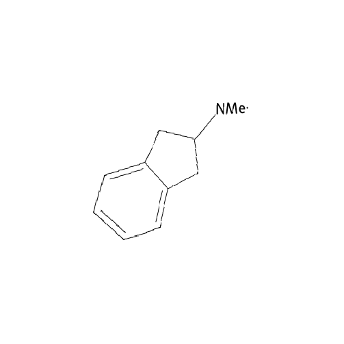 C[N]C1Cc2ccccc2C1